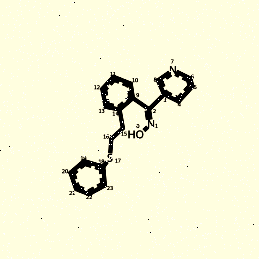 ON=C(c1cccnc1)c1ccccc1CCSc1ccccc1